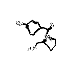 CC(C)(C)c1ccc(C(=O)N2CCCC2CN)cc1